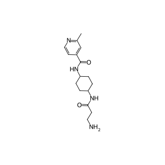 Cc1cc(C(=O)NC2CCC(NC(=O)CCN)CC2)ccn1